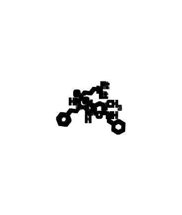 CCN(CC)CCCS(=O)(=O)N[C@H](CCc1ccccc1)c1nc(CN(C)C(=O)NCC2CCCCC2)n[nH]1